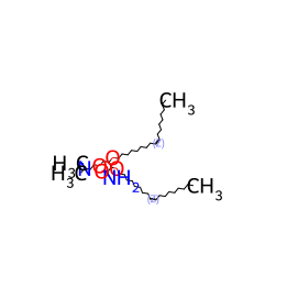 CCCCCCCC/C=C\CCCCCCCCOC(COCCN(C)C)C(OCCCCCCCC/C=C\CCCCCCCC)C(N)=O